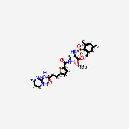 Cc1cc(C)c(S(=O)(=O)N[C@@H](CNC(=O)c2ccc(CCC(=O)NC3=NCCCN3)s2)C(=O)OC(C)(C)C)c(C)c1